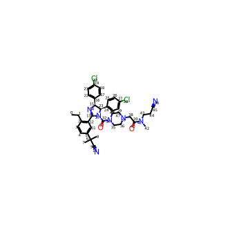 CCc1ccc(C(C)(C)C#N)cc1C1=N[C@@H](c2ccc(Cl)cc2)[C@@H](c2ccc(Cl)cc2)N1C(=O)N1CCN(CC(=O)N(C)CCC#N)CC1